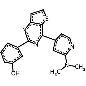 CN(C)c1cc(-c2nc(-c3cccc(O)c3)nc3ccsc23)ccn1